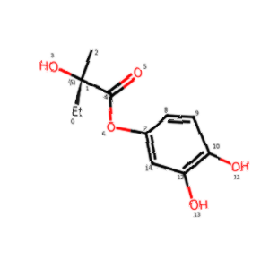 CC[C@](C)(O)C(=O)Oc1ccc(O)c(O)c1